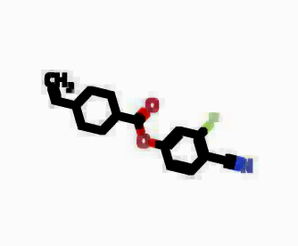 C=CC1CCC(C(=O)Oc2ccc(C#N)c(F)c2)CC1